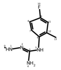 CNN=C(N)Nc1ccc(F)cc1C